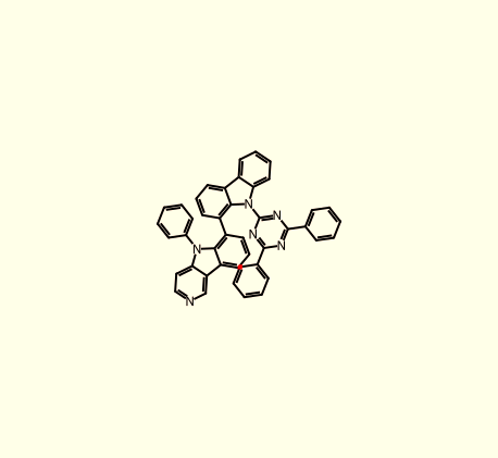 c1ccc(-c2nc(-c3ccccc3)nc(-n3c4ccccc4c4cccc(-c5cccc6c7cnccc7n(-c7ccccc7)c56)c43)n2)cc1